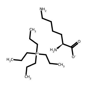 CCC[P+](CCC)(CCC)CCC.NCCCC[C@H](N)C(=O)[O-]